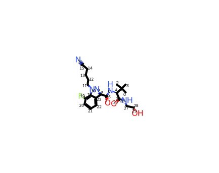 CC(C)(C)[C@H](NC(=O)c1nn(CCCCC#N)c2c(F)cccc12)C(=O)NCCO